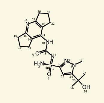 Cn1nc([S@](N)(=O)=NC(=O)Nc2c3c(nc4c2CCC4)CCC3)cc1C(C)(C)O